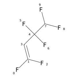 FC(F)=CC(F)(F)C(F)F